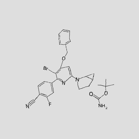 CC(C)(C)OC(N)=O.N#Cc1ccc(-c2nc(N3CCC4CC43)cc(OCc3ccccc3)c2Br)cc1F